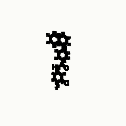 O=C(Nc1ccc(F)c(Cl)c1)c1ccc(-c2cccc3ccccc23)cc1